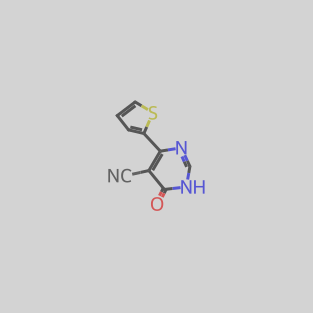 N#Cc1c(-c2cccs2)nc[nH]c1=O